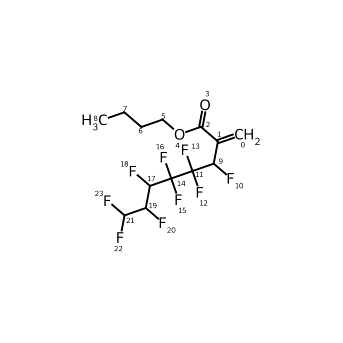 C=C(C(=O)OCCCC)C(F)C(F)(F)C(F)(F)C(F)C(F)C(F)F